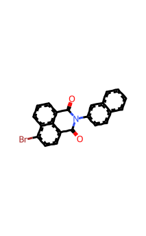 O=C1c2cccc3c(Br)ccc(c23)C(=O)N1c1ccc2ccccc2c1